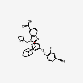 N#Cc1ccc(COc2ccnc(N3C4CCC3CN(Cc3nc5ccc(C(=O)O)cc5n3C[C@@H]3CCO3)C4)c2)c(F)c1